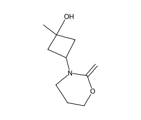 C=C1OCCCN1C1CC(C)(O)C1